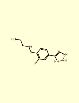 OCCNSc1ccc(C2=NNNN2)cc1F